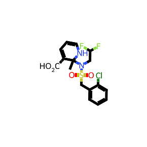 CC1(N(CC(F)F)S(=O)(=O)Cc2ccccc2Cl)NC=CC=C1C(=O)O